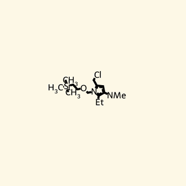 CCc1c(NC)cc(CCl)n1COCC[Si](C)(C)C